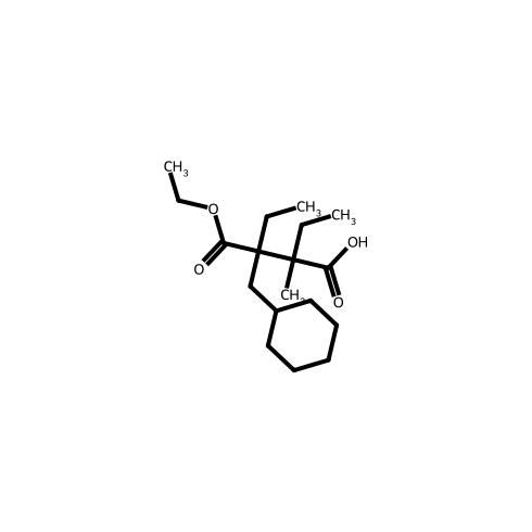 CCOC(=O)C(CC)(CC1CCCCC1)C(C)(CC)C(=O)O